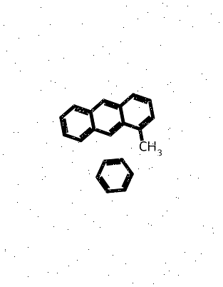 Cc1cccc2cc3ccccc3cc12.c1ccccc1